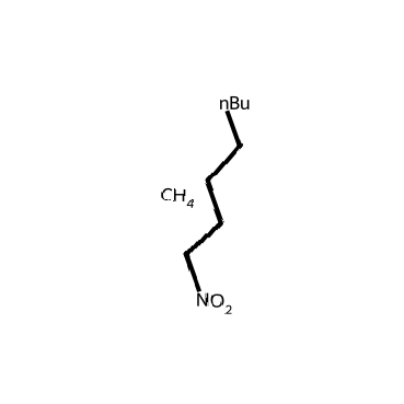 C.CCCCCCCC[N+](=O)[O-]